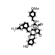 COc1ccc(CNC(=O)N(C(C)C)N2CC(=O)N3[C@@H](Cc4ccc(O)cc4)C(=O)N(Cc4cccc5sc(N)nc45)C[C@@H]32)cc1